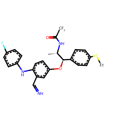 CCSc1ccc([C@@H](Oc2ccc(Nc3ccc(F)cc3)c(C=N)c2)[C@H](C)NC(=O)C(F)(F)F)cc1